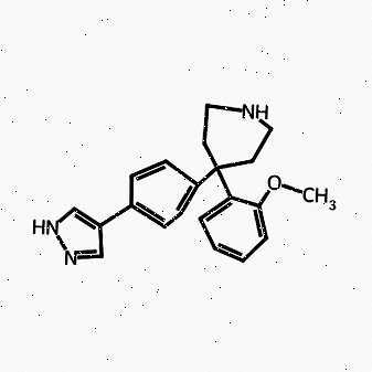 COc1ccccc1C1(c2ccc(-c3cn[nH]c3)cc2)CCNCC1